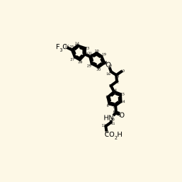 CC(CCc1ccc(C(=O)NCCC(=O)O)cc1)COc1ccc(-c2ccc(C(F)(F)F)cc2)cc1